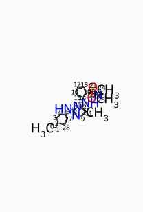 CCc1ccc(Nc2ncc(C)c(Nc3ccccc3S(=O)(=O)N(C)C)n2)cc1